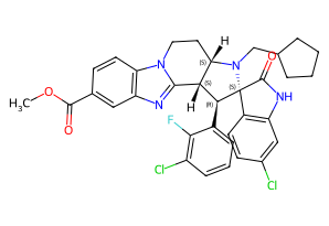 COC(=O)c1ccc2c(c1)nc1n2CC[C@H]2[C@@H]1[C@H](c1cccc(Cl)c1F)[C@]1(C(=O)Nc3cc(Cl)ccc31)N2CC1CCCC1